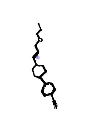 CCCOC/C=C/C1CCC(c2ccc(C#N)cc2)CC1